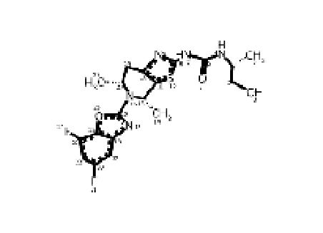 C[C@H](CO)NC(=O)Nc1nc2c(s1)[C@H](C)N(c1nc3cc(F)cc(F)c3o1)[C@H](C)C2